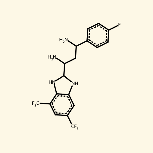 NC(CC(N)C1Nc2cc(C(F)(F)F)cc(C(F)(F)F)c2N1)c1ccc(F)cc1